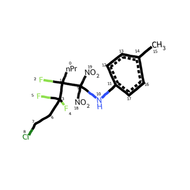 CCCC(F)(C(F)(F)CCCl)C(Nc1ccc(C)cc1)([N+](=O)[O-])[N+](=O)[O-]